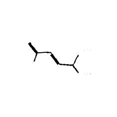 C=C(O)C=CC(OC)OC